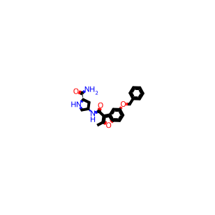 Cc1oc2ccc(OCc3ccccc3)cc2c1C(=O)N[C@H]1CN[C@H](C(N)=O)C1